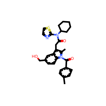 Cc1ccc(C(=O)n2c(C)c(CC(=O)N(c3nccs3)C3CCCCC3)c3cc(CO)ccc32)cc1